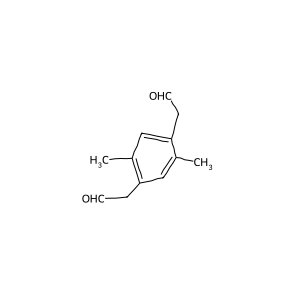 Cc1cc(CC=O)c(C)cc1CC=O